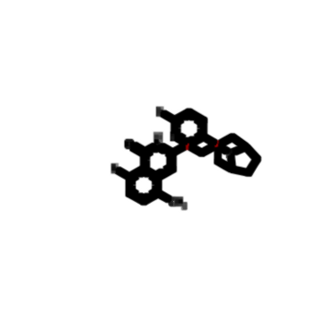 Cc1ccc(F)c2c(=O)[nH]c(CCCN3C4CCC3CN(c3ccc(F)nc3)C4)cc12